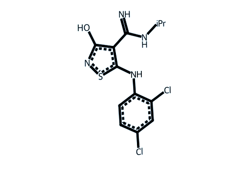 CC(C)NC(=N)c1c(O)nsc1Nc1ccc(Cl)cc1Cl